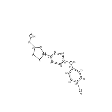 OCC1CCN(c2ccc(Oc3ccc(Cl)cc3)cc2)C1